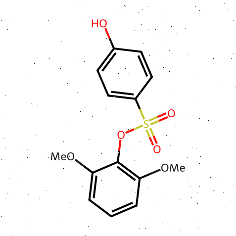 COc1cccc(OC)c1OS(=O)(=O)c1ccc(O)cc1